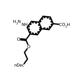 CCCCCCCCCCCCOC(=O)c1ccc2ccc(C(=O)O)cc2c1.N.N